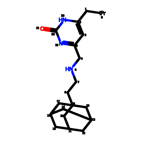 CC(C)Cc1cc(CNCCC23CC4CC(CC(C4)C2)C3)nc(=O)[nH]1